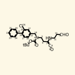 CC(C)(C)OC(=O)N(CCC(=C=O)NCCC=O)Cc1ccc(-c2ccccc2)c(Cl)c1